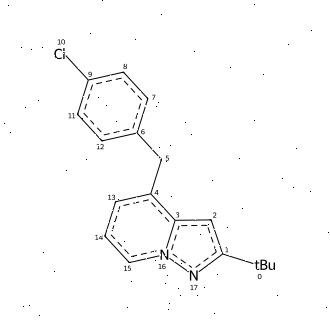 CC(C)(C)c1cc2c(Cc3ccc(Cl)cc3)cccn2n1